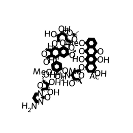 COc1cc([C@@H]2c3cc4c(cc3[C@@H](O[C@@H]3O[C@@H]5CO[C@@H](C)O[C@H]5[C@H](O)[C@H]3O)[C@H]3COC(=O)[C@H]23)OCO4)cc(OC)c1O.COc1cccc2c1C(=O)c1c(O)c3c(c(O)c1C2=O)C[C@@](O)(C(C)=O)C[C@@H]3O[C@H]1C[C@H](N)[C@H](O)[C@H](C)O1.Nc1ccn([C@@H]2O[C@H](CO)[C@@H](O)[C@@H]2O)c(=O)n1